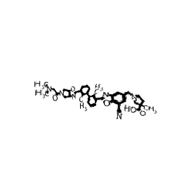 Cc1c(-c2nc3c(o2)CN(C(=O)CN(C)C)C3)cccc1-c1cccc(-c2nc3cc(CN4CCC(C)(C(=O)O)C4)cc(C#N)c3o2)c1C